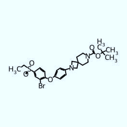 CCS(=O)(=O)c1ccc(Oc2ccc(N3CC4(CCN(C(=O)OC(C)(C)C)CC4)C3)cc2)c(Br)c1